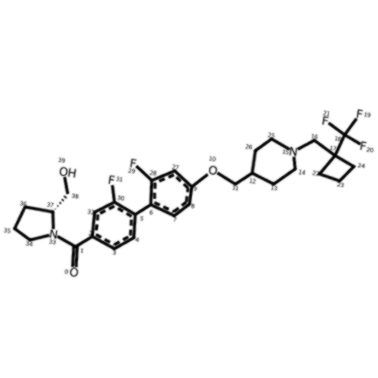 O=C(c1ccc(-c2ccc(OCC3CCN(CC4(C(F)(F)F)CCC4)CC3)cc2F)c(F)c1)N1CCC[C@@H]1CO